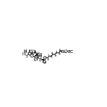 CCCCCCCCCCCCCCCCCCOC(=O)COC(=O)C1(CC)COC(C)(C)OC1